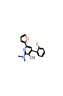 CN(C)c1nc(-c2ccco2)cc(-c2ccccc2F)c1C#N